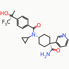 C[C@](O)(c1ccc(C(=O)N(C2CC2)[C@H]2CC[C@](C(N)=O)(c3cccnc3)CC2)cc1)C(F)(F)F